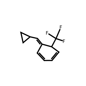 FC(F)(F)C1C=CC=CC1=CC1CC1